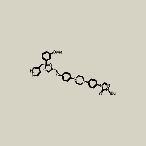 CCC(C)n1ncn(-c2ccc(N3CCN(c4ccc(OC[C@@H]5CO[C@](Cc6ccnnc6)(c6cccc(OC)c6)O5)cc4)CC3)cc2)c1=O